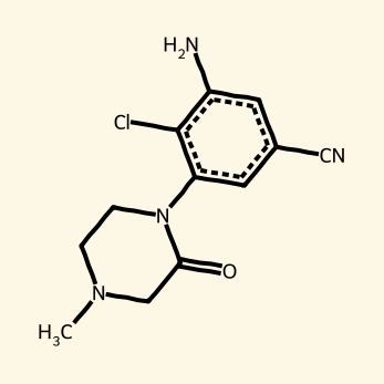 CN1CCN(c2cc(C#N)cc(N)c2Cl)C(=O)C1